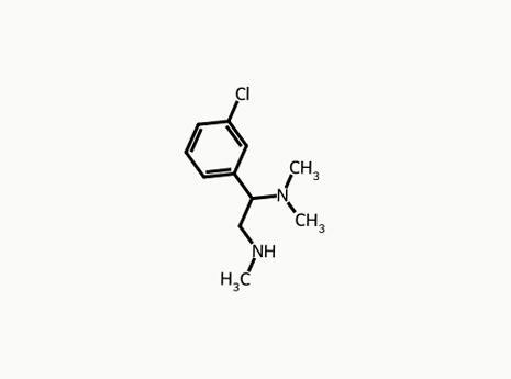 CNCC(c1cccc(Cl)c1)N(C)C